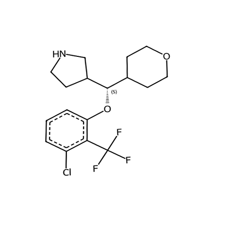 FC(F)(F)c1c(Cl)cccc1O[C@@H](C1CCOCC1)C1CCNC1